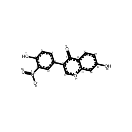 O=c1c(-c2ccc(O)c([N+](=O)[O-])c2)coc2cc(O)ccc12